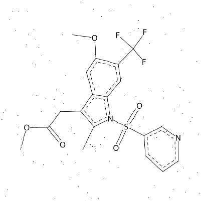 COC(=O)Cc1c(C)n(S(=O)(=O)c2cccnc2)c2cc(C(F)(F)F)c(OC)cc12